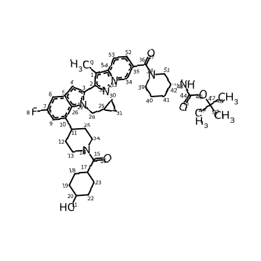 Cc1c(-c2cc3cc(F)cc(C4CCN(C(=O)C5CCC(O)CC5)CC4)c3n2CC2CC2)nn2cc(C(=O)N3CCC[C@@H](NC(=O)OC(C)(C)C)C3)ccc12